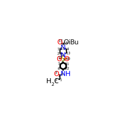 C=CC(=O)Nc1ccc(S(=O)(=O)N2CCN(C(=O)OCC(C)C)CC2)cc1